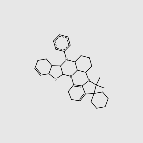 CC1(C)N2C3=C(CCC=C3C13CCCCC3)B1C3SC4C=CCCC4C3N(c3ccccc3)C3CCCC2C13